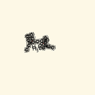 CC1(C)c2cc3c(-c4ccc(-c5ccc(N(c6ccc(-c7ccccc7)cc6)c6cccc7c6-c6ccccc6C76c7ccccc7-c7ccccc76)cc5)cc4)cccc3cc2-c2c(N(c3ccc(-c4ccccc4)cc3)c3ccc4c(c3)oc3ccccc34)cccc21